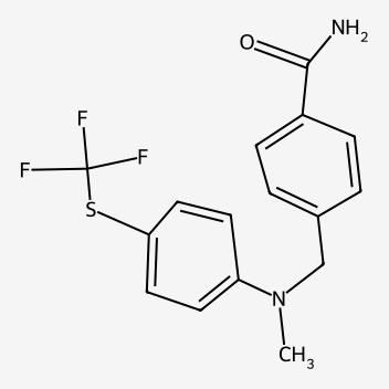 CN(Cc1ccc(C(N)=O)cc1)c1ccc(SC(F)(F)F)cc1